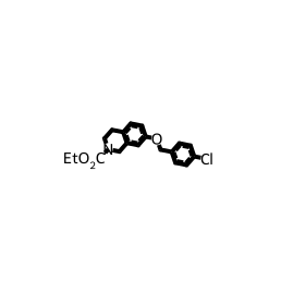 CCOC(=O)N1CCc2ccc(OCc3ccc(Cl)cc3)cc2C1